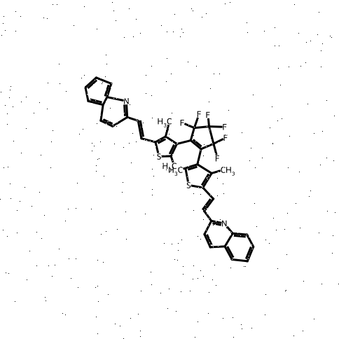 Cc1sc(C=Cc2ccc3ccccc3n2)c(C)c1C1=C(c2c(C)sc(C=Cc3ccc4ccccc4n3)c2C)C(F)(F)C(F)(F)C1(F)F